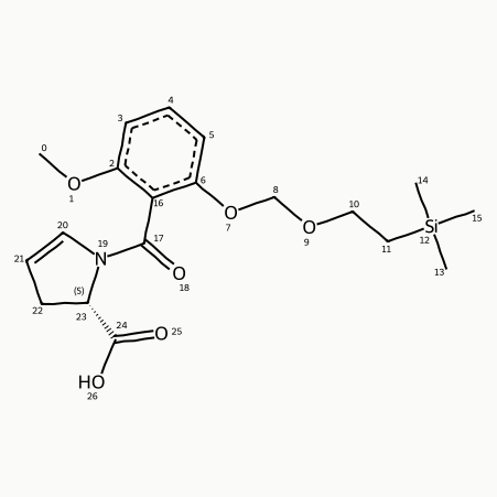 COc1cccc(OCOCC[Si](C)(C)C)c1C(=O)N1C=CC[C@H]1C(=O)O